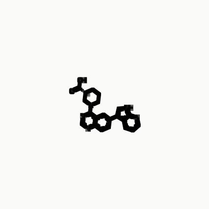 O=C(O)[C@@H]1CCCN(c2ncnc3ccc(-c4c[nH]c5ncccc45)cc23)C1